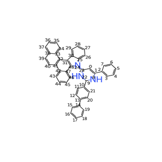 C1=C(c2ccccc2)NC(c2ccc(-c3ccccc3)cc2)NC1n1c2ccccc2c2c3c4ccccc4ccc3c3ccccc3c21